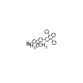 CC1(C)c2cc(Br)ccc2-c2ccc(-c3ccc4c(-c5ccccc5)c5ccccc5c(-c5ccccc5)c4c3)cc21